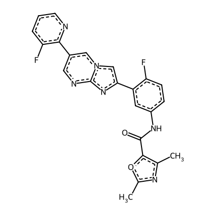 Cc1nc(C)c(C(=O)Nc2ccc(F)c(-c3cn4cc(-c5ncccc5F)cnc4n3)c2)o1